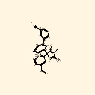 CN1C(=O)C(c2cc(CF)ccn2)(c2cc(-c3cncc(C#N)c3)ccc2F)N=C1N